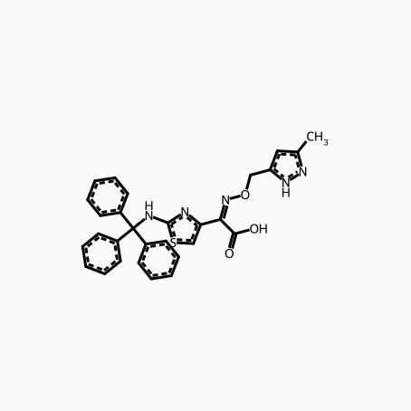 Cc1cc(CON=C(C(=O)O)c2csc(NC(c3ccccc3)(c3ccccc3)c3ccccc3)n2)[nH]n1